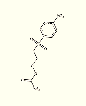 NC(=O)OOCCS(=O)(=O)c1ccc([N+](=O)[O-])cc1